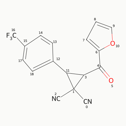 N#CC1(C#N)C(C(=O)c2ccco2)C1c1ccc(C(F)(F)F)cc1